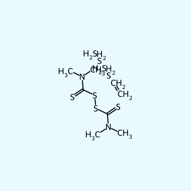 C=C.CN(C)C(=S)SSC(=S)N(C)C.S.S.S.S